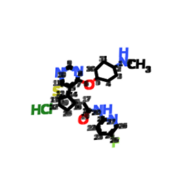 CNC1CCC(Oc2ncnc3sc4c(c23)[C@H](CC(=O)Nc2ccc(F)cn2)CC4)CC1.Cl